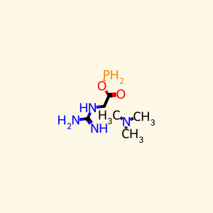 CN(C)C.N=C(N)NCC(=O)OP